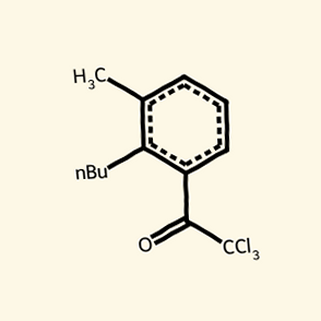 CCCCc1c(C)cccc1C(=O)C(Cl)(Cl)Cl